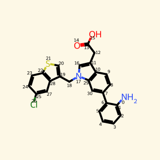 Nc1ccccc1-c1ccc2c(CC(=O)O)cn(Cc3csc4ccc(Cl)cc34)c2c1